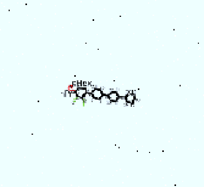 CCCCCCOC1(CCC)C=CC(c2ccc(-c3ccc(-c4ccccc4)cc3)cc2)=C(F)C1F